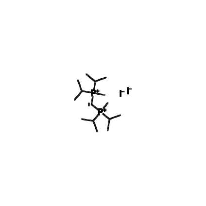 CC(C)[P+](C)([C][P+](C)(C(C)C)C(C)C)C(C)C.[I-].[I-]